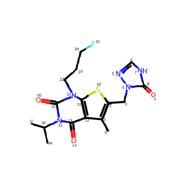 Cc1c(Cn2nc[nH]c2=O)sc2c1c(=O)n(C(C)C)c(=O)n2CCCF